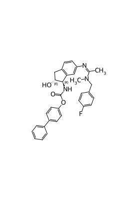 CC(=Nc1ccc2c(c1)[C@@H](NC(=O)Oc1ccc(-c3ccccc3)cc1)[C@H](O)C2)N(C)Cc1ccc(F)cc1